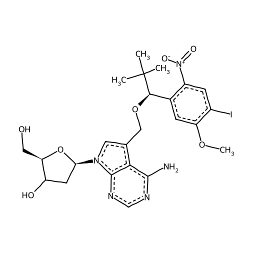 COc1cc([C@@H](OCc2cn([C@H]3CC(O)[C@@H](CO)O3)c3ncnc(N)c23)C(C)(C)C)c([N+](=O)[O-])cc1I